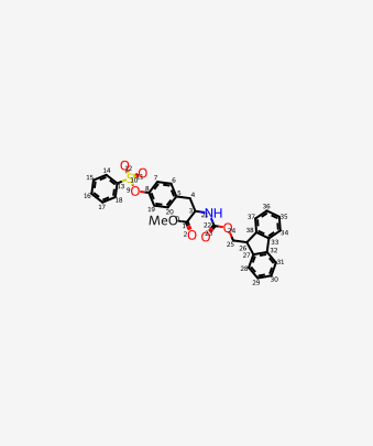 COC(=O)C(Cc1ccc(OS(=O)(=O)c2ccccc2)cc1)NC(=O)OCC1c2ccccc2-c2ccccc21